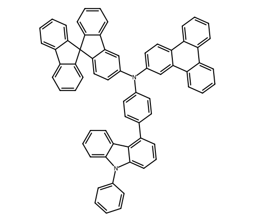 c1ccc(-n2c3ccccc3c3c(-c4ccc(N(c5ccc6c(c5)-c5ccccc5C65c6ccccc6-c6ccccc65)c5ccc6c7ccccc7c7ccccc7c6c5)cc4)cccc32)cc1